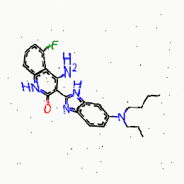 CCCCN(CCC)c1ccc2nc(-c3c(N)c4c(F)cccc4[nH]c3=O)[nH]c2c1